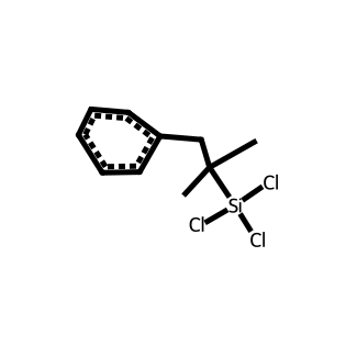 CC(C)(Cc1ccccc1)[Si](Cl)(Cl)Cl